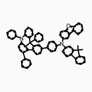 CC1(C)c2ccccc2-c2ccc(N(c3ccc(-c4ccc5c(c4)C4(c6ccccc6)c6ccccc6N(c6ccccc6)c6ccc(-c7ccccc7)c-5c64)cc3)c3ccc4oc5ccccc5c4c3)cc21